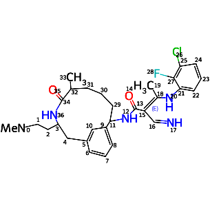 CNCCC1Cc2cccc(c2)C(NC(=O)/C(C=N)=C(\C)Nc2cccc(Cl)c2F)CCCC(C)C(=O)N1